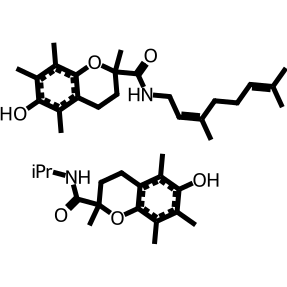 CC(C)=CCCC(C)=CCNC(=O)C1(C)CCc2c(C)c(O)c(C)c(C)c2O1.Cc1c(C)c2c(c(C)c1O)CCC(C)(C(=O)NC(C)C)O2